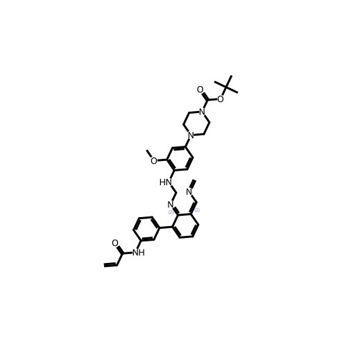 C=CC(=O)Nc1cccc(C2=CC=CC(=C/N=C)/C2=N\CNc2ccc(N3CCN(C(=O)OC(C)(C)C)CC3)cc2OC)c1